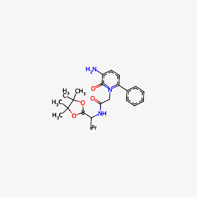 CC(C)C(NC(=O)Cn1c(-c2ccccc2)ccc(N)c1=O)B1OC(C)(C)C(C)(C)O1